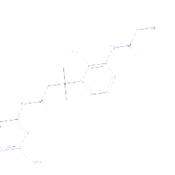 COc1nccc(NC(=O)CC(C)(C)[n+]2cncc(NC(=O)CC(C)C)c2O)n1